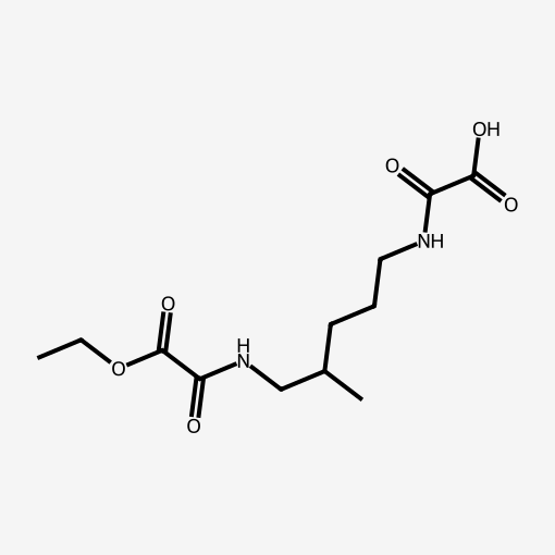 CCOC(=O)C(=O)NCC(C)CCCNC(=O)C(=O)O